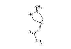 C[C@H]1CC[C@@H](OC(N)=O)CN1